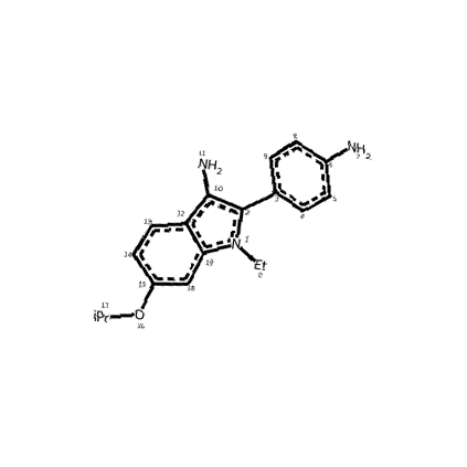 CCn1c(-c2ccc(N)cc2)c(N)c2ccc(OC(C)C)cc21